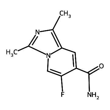 Cc1nc(C)n2cc(F)c(C(N)=O)cc12